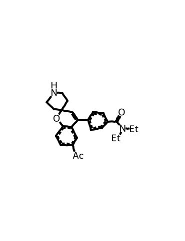 CCN(CC)C(=O)c1ccc(C2=CC3(CCNCC3)Oc3ccc(C(C)=O)cc32)cc1